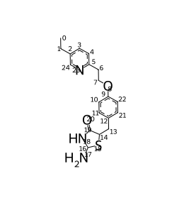 CCc1ccc(CCOc2ccc(CC3SC(N)NC3=O)cc2)nc1